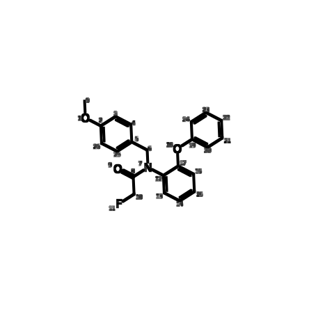 COc1ccc(CN(C(=O)CF)c2ccccc2Oc2ccccc2)cc1